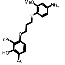 CCCc1c(OCCCOc2ccc(N)cc2OC)ccc(C(C)=O)c1O